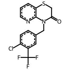 O=C1CSc2cccnc2N1Cc1ccc(Cl)c(C(F)(F)F)c1